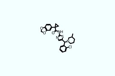 CC1CCCN(C(c2cnc(NC(=O)C3(c4ccc5c(c4)OCO5)CC3)s2)c2ccccc2Cl)C1